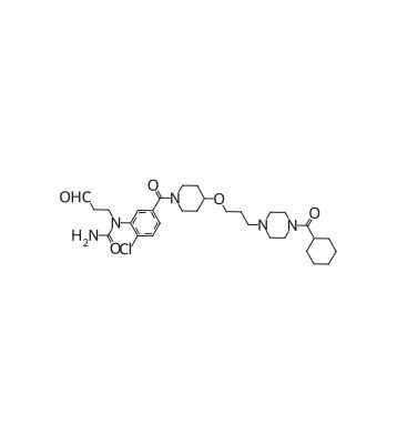 NC(=O)N(CCC=O)c1cc(C(=O)N2CCC(OCCCN3CCN(C(=O)C4CCCCC4)CC3)CC2)ccc1Cl